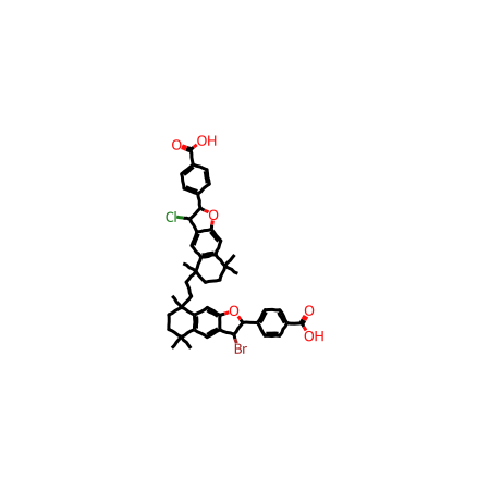 CC1(C)CCC(C)(CCC2(C)CCC(C)(C)c3cc4c(cc32)C(Cl)C(c2ccc(C(=O)O)cc2)O4)c2cc3c(cc21)C(Br)C(c1ccc(C(=O)O)cc1)O3